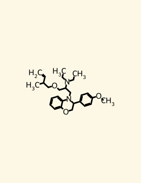 C=CC(C)COCC(CN1c2ccccc2OCC1c1ccc(OC)cc1)N(CC)CC